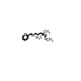 CSOC(C)(C)CCC/N=C/c1ccccn1